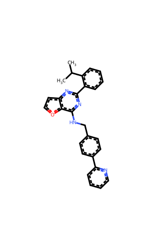 CC(C)c1ccccc1-c1nc(NCc2ccc(-c3ccccn3)cc2)c2occc2n1